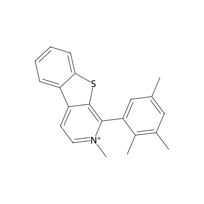 Cc1cc(C)c(C)c(-c2c3sc4ccccc4c3cc[n+]2C)c1